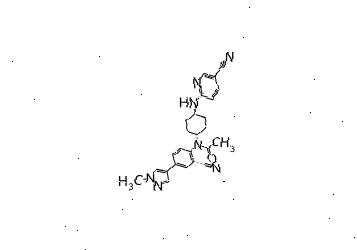 CC(=O)N(c1ccc(-c2cnn(C)c2)cc1C#N)[C@H]1CC[C@H](Nc2ccc(C#N)cn2)CC1